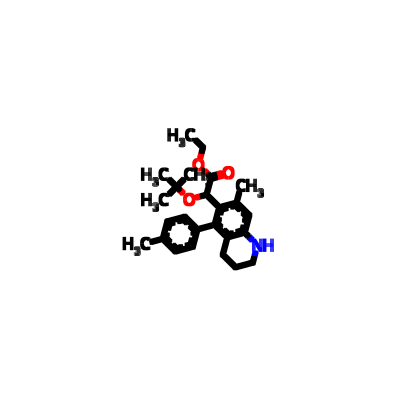 CCOC(=O)C(OC(C)(C)C)c1c(C)cc2c(c1-c1ccc(C)cc1)CCCN2